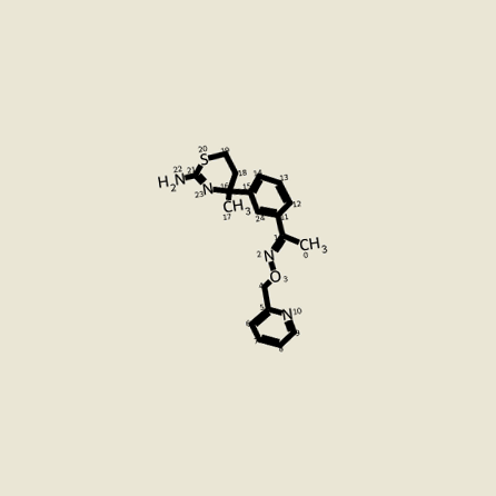 C/C(=N\OCc1ccccn1)c1cccc(C2(C)CCSC(N)=N2)c1